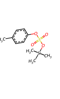 Cc1ccc(OS(=O)(=O)O[Si](C)(C)C)cc1